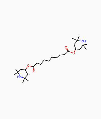 CC1(C)CC(OC(=O)CCCCCCCCC(=O)OC2CC(C)(C)NC(C)(C)C2)CC(C)(C)N1